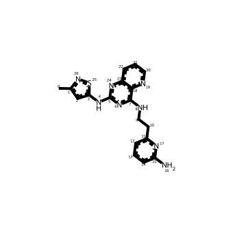 Cc1cc(Nc2nc(NCCc3cccc(N)n3)c3ncccc3n2)sn1